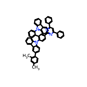 Cc1ccc(-c2ccc3c(c2)c2ccccc2n3-c2ccc(-c3nc(-c4ccccc4)cc(-c4ccccc4)n3)cc2-c2ccccc2-n2c3ccccc3c3ccccc32)c(C)c1